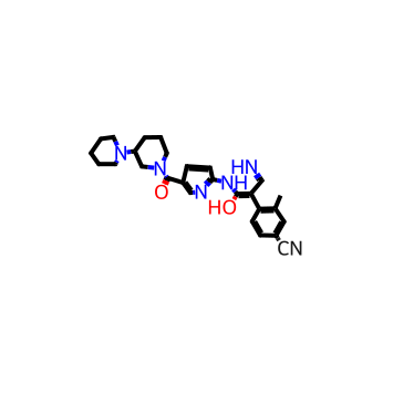 Cc1cc(C#N)ccc1/C(C=N)=C(\O)Nc1ccc(C(=O)N2CCCC(N3CCCCC3)C2)cn1